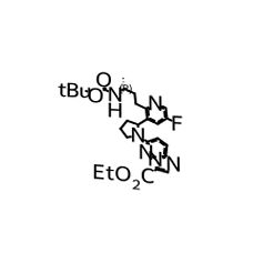 CCOC(=O)c1cnc2ccc(N3CCCC3c3cc(F)cnc3CC[C@@H](C)NC(=O)OC(C)(C)C)nn12